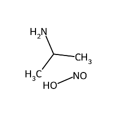 CC(C)N.O=NO